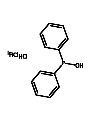 Cl.Cl.OP(c1ccccc1)c1ccccc1.[Ir]